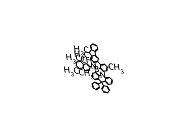 Cc1cc2c3c(c1)N1c4ccccc4C(c4ccccc4)(c4ccccc4)c4cccc(c41)B3N(c1ccc3c(c1)C(C)(C)CCC3(C)C)c1cc3c(cc1-2)-c1ccccc1C3(C)C